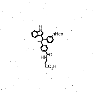 CCCCCCc1cccc(C(c2c[nH]c3ccccc23)C(C)c2ccc(C(=O)NCCC(=O)O)cc2)c1